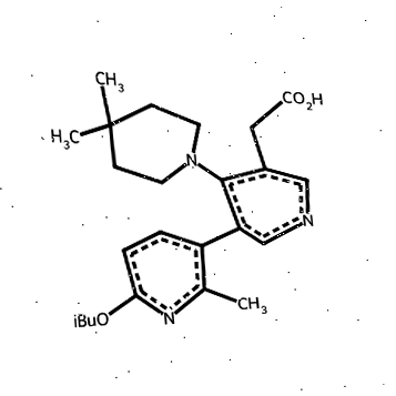 Cc1nc(OCC(C)C)ccc1-c1cncc(CC(=O)O)c1N1CCC(C)(C)CC1